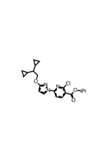 CC(C)OC(=O)c1ccc(-n2ccc(OCC(C3CC3)C3CC3)n2)nc1Cl